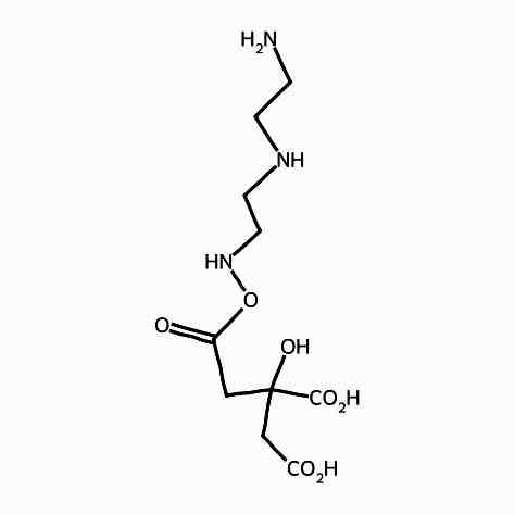 NCCNCCNOC(=O)CC(O)(CC(=O)O)C(=O)O